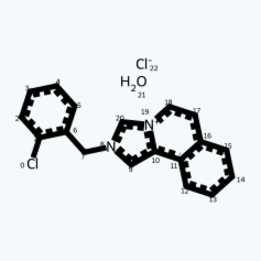 Clc1ccccc1Cn1cc2c3ccccc3cc[n+]2c1.O.[Cl-]